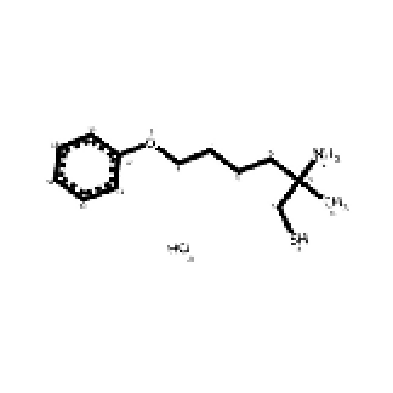 CC(N)(CS)CCCCOc1ccccc1.Cl